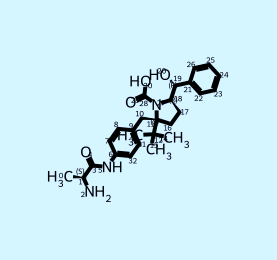 C[C@H](N)C(=O)Nc1ccc(C[C@]2(C(C)(C)C)CC[C@H]([C@H](O)c3ccccc3)N2C(=O)O)cc1